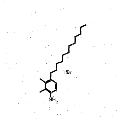 Br.CCCCCCCCCCCCc1ccc(N)c(C)c1C